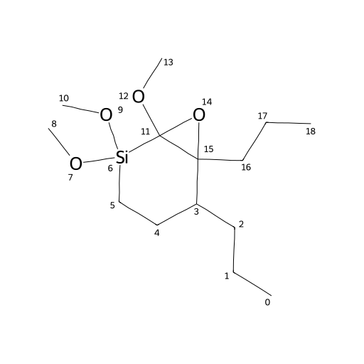 CCCC1CC[Si](OC)(OC)C2(OC)OC12CCC